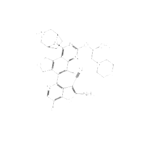 C[C@@H](CN1CCOCC1)Oc1nc(N2C3CCC2CNC3)c2c3c(c(-c4ncc(F)c5sc(N)c(C#N)c45)c(F)c2n1)COC3